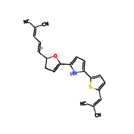 N#CC(C#N)=C/C=C/C1CC=C(c2ccc(-c3ccc(C=C(C#N)C#N)s3)[nH]2)O1